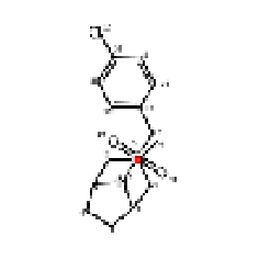 CN1CC2CCC(C1)N2S(=O)(=O)Cc1ccc(Cl)cc1